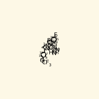 C[C@@H](n1ccc(-c2ccc(OC(F)(F)F)cc2)n1)[C@](O)(Cn1cncn1)c1ccc(F)cc1F